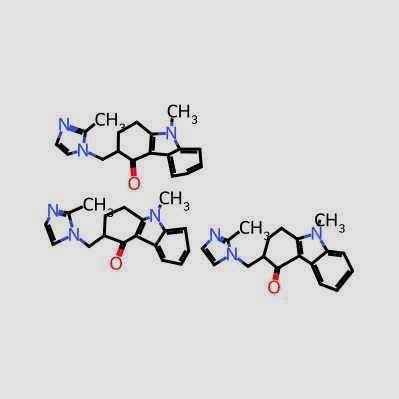 Cc1nccn1CC1CCc2c(c3ccccc3n2C)C1=O.Cc1nccn1CC1CCc2c(c3ccccc3n2C)C1=O.Cc1nccn1CC1CCc2c(c3ccccc3n2C)C1=O